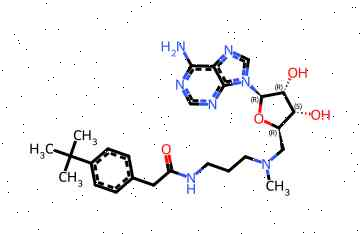 CN(CCCNC(=O)Cc1ccc(C(C)(C)C)cc1)C[C@H]1O[C@@H](n2cnc3c(N)ncnc32)[C@H](O)[C@@H]1O